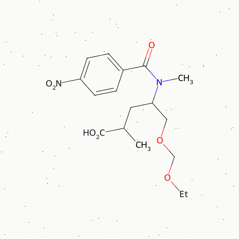 CCOCOCC(CC(C)C(=O)O)N(C)C(=O)c1ccc([N+](=O)[O-])cc1